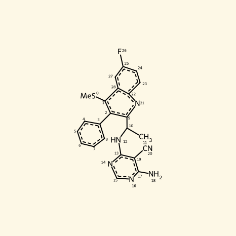 CSc1c(-c2ccccc2)c(C(C)Nc2ncnc(N)c2C#N)nc2ccc(F)cc12